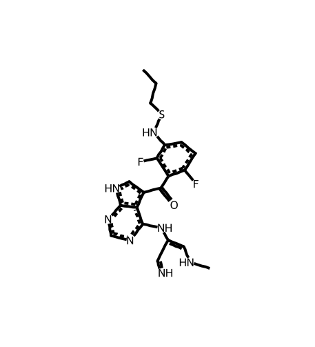 CCCSNc1ccc(F)c(C(=O)c2c[nH]c3ncnc(N/C(C=N)=C/NC)c23)c1F